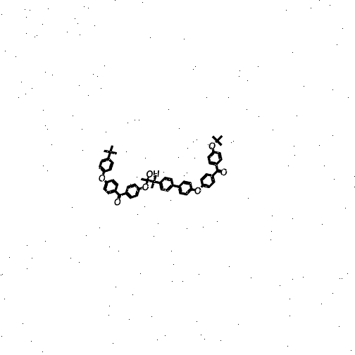 CC(C)(C)Oc1ccc(C(=O)c2ccc(Oc3ccc(-c4ccc(C(C)(C)C(C)(O)Oc5ccc(C(=O)c6ccc(Oc7ccc(C(C)(C)C)cc7)cc6)cc5)cc4)cc3)cc2)cc1